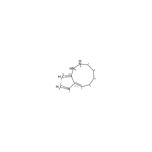 C=N/C1=C/CCCCNNC1=C